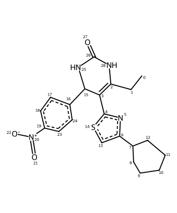 CCC1=C(c2nc(C3CCCCC3)cs2)C(c2ccc([N+](=O)[O-])cc2)NC(=O)N1